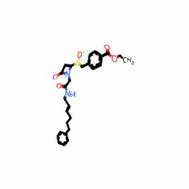 CCOC(=O)c1ccc(C[S+]([O-])C2CC(=O)N2CC(=O)NCCCCCCc2ccccc2)cc1